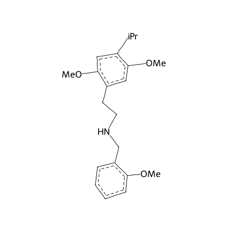 COc1cc(C(C)C)c(OC)cc1CCNCc1ccccc1OC